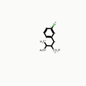 CC(=O)OC(C)C(Cc1cccc(Br)c1)C(=O)O